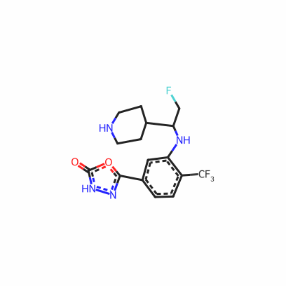 O=c1[nH]nc(-c2ccc(C(F)(F)F)c(NC(CF)C3CCNCC3)c2)o1